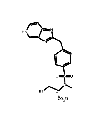 CCOC(=O)[C@H](CC(C)C)N(C)S(=O)(=O)c1ccc(Cc2nc3cc[nH]cc-3n2)cc1